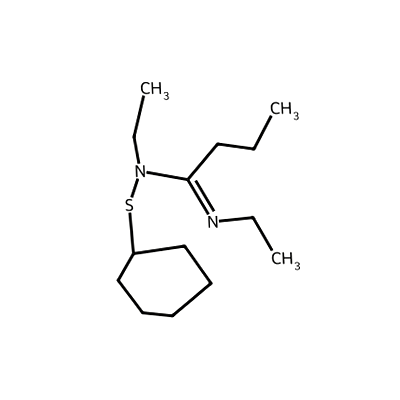 CCCC(=NCC)N(CC)SC1CCCCC1